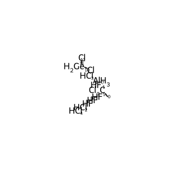 CC(Cl)(Cl)Cl.Cl.Cl.Cl.F.F.F.F.[AlH3].[Cl][GeH2][Cl]